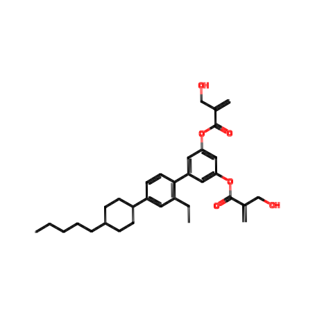 C=C(CO)C(=O)Oc1cc(OC(=O)C(=C)CO)cc(-c2ccc(C3CCC(CCCCC)CC3)cc2CC)c1